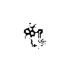 CS(=O)(=O)O.NCCOc1cc(-c2ccc[nH]2)c2c3c(ccc(F)c13)NC2=O